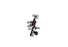 C=C(Br)CC(CCC(O)/C=C/C(O[Si](C)(C)C(C)(C)C)[C@@H]1OC2CCC(CCO[Si](CC)(CC)CC)O[C@@H]2C(O[Si](C)(C)C(C)(C)C)C1O[Si](C)(C)C(C)(C)C)OC(=O)c1ccccc1